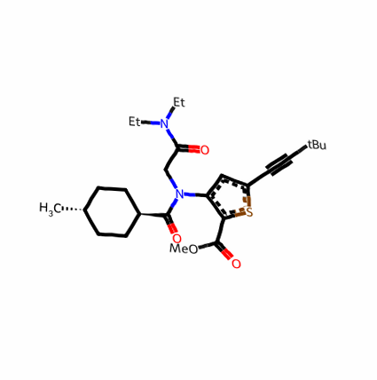 CCN(CC)C(=O)CN(c1cc(C#CC(C)(C)C)sc1C(=O)OC)C(=O)[C@H]1CC[C@H](C)CC1